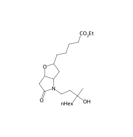 CCCCCCC(C)(O)CCN1C(=O)CC2OC(CCCCC(=O)OCC)CC21